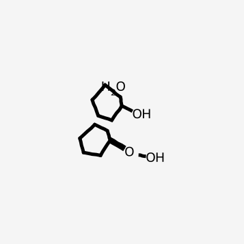 CO.O.O=C1CCCCC1.OC1CCCCC1